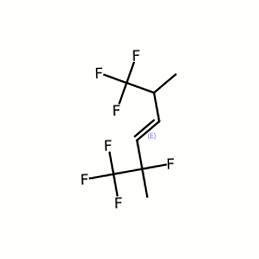 CC(/C=C/C(C)(F)C(F)(F)F)C(F)(F)F